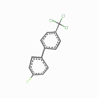 Fc1ccc(-c2ccc(C(Cl)(Cl)Cl)cc2)cc1